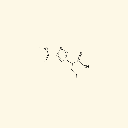 CCCC(C(O)=S)c1csc(C(=O)OC)c1